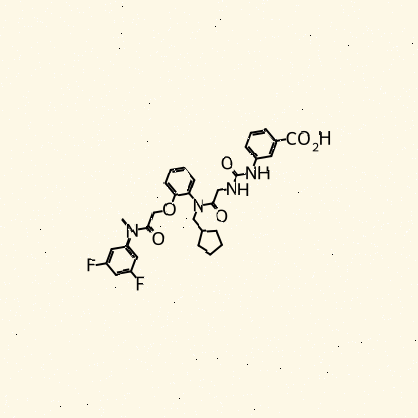 CN(C(=O)COc1ccccc1N(CC1CCCC1)C(=O)CNC(=O)Nc1cccc(C(=O)O)c1)c1cc(F)cc(F)c1